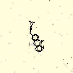 CN(C)C#CCc1ccc2c(c1)Nc1nccnc1N2C